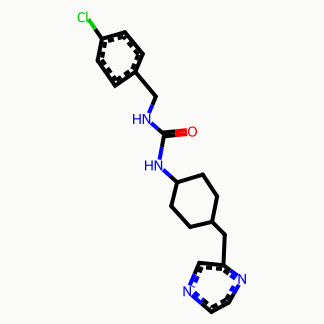 O=C(NCc1ccc(Cl)cc1)NC1CCC(Cc2cnccn2)CC1